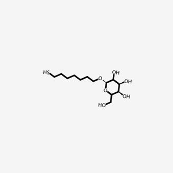 OCC1O[C@H](OCCCCCCCS)C(O)[C@@H](O)[C@H]1O